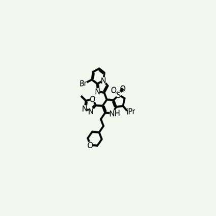 Cc1nnc(C2=C(CCC3CCOCC3)NC3=C(C2c2cn4cccc(Br)c4n2)S(=O)(=O)CC3C(C)C)o1